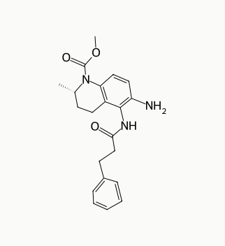 COC(=O)N1c2ccc(N)c(NC(=O)CCc3ccccc3)c2CC[C@@H]1C